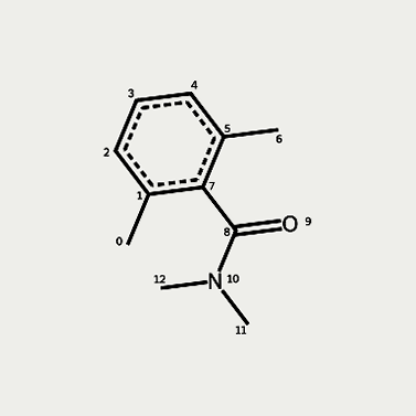 Cc1cccc(C)c1C(=O)N(C)C